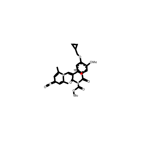 COc1ccc(C(=CN2C(C)=CC(=C=O)C=C2C)C(=O)N(C(=O)OC(C)(C)C)C(=O)OC(C)(C)C)cc1OCC1CC1